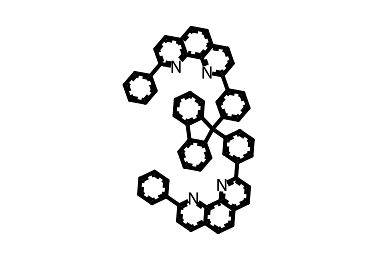 c1ccc(-c2ccc3ccc4ccc(-c5cccc(C6(c7cccc(-c8ccc9ccc%10ccc(-c%11ccccc%11)nc%10c9n8)c7)c7ccccc7-c7ccccc76)c5)nc4c3n2)cc1